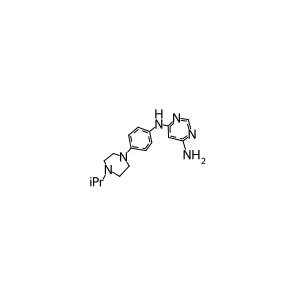 CC(C)N1CCN(c2ccc(Nc3cc(N)ncn3)cc2)CC1